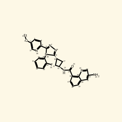 CCOc1ccc(-c2nnc([C@H]3C[C@H](NC(=O)c4cccc5cc(N)cnc45)C3)n2-c2ccccc2F)nc1